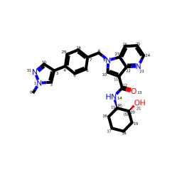 Cn1cc(-c2ccc(Cn3cc(C(=O)N[C@@H]4CCCC[C@@H]4O)c4ncccc43)cc2)cn1